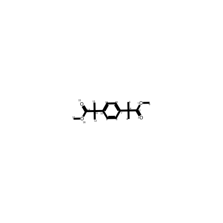 COC(=O)C(C)(C)c1ccc(C(C)(C)C(=O)OC)cc1